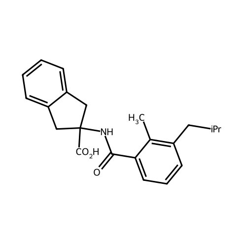 Cc1c(CC(C)C)cccc1C(=O)NC1(C(=O)O)Cc2ccccc2C1